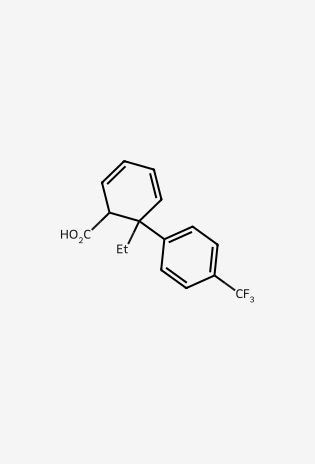 CCC1(c2ccc(C(F)(F)F)cc2)C=CC=CC1C(=O)O